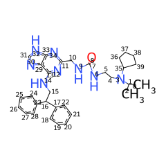 CC(C)N(CCNC(=O)NCc1nc(NCC(c2ccccc2)c2ccccc2)c2nc[nH]c2n1)C1CCCC1